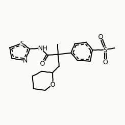 CC(CC1CCCCO1)(C(=O)Nc1nccs1)c1ccc(S(C)(=O)=O)cc1